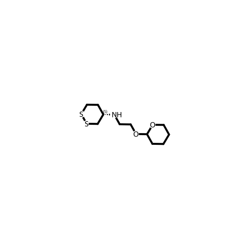 C1CCC(OCCN[C@H]2CCSSC2)OC1